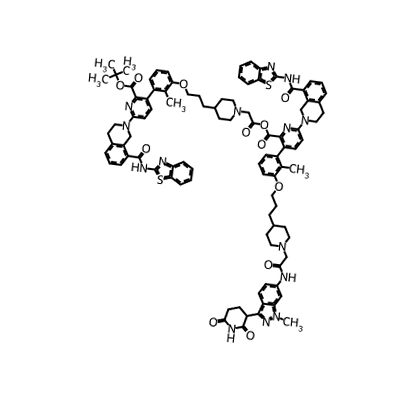 Cc1c(OCCCC2CCN(CC(=O)Nc3ccc4c(C5CCC(=O)NC5=O)nn(C)c4c3)CC2)cccc1-c1ccc(N2CCc3cccc(C(=O)Nc4nc5ccccc5s4)c3C2)nc1C(=O)OC(=O)CN1CCC(CCCOc2cccc(-c3ccc(N4CCc5cccc(C(=O)Nc6nc7ccccc7s6)c5C4)nc3C(=O)OC(C)(C)C)c2C)CC1